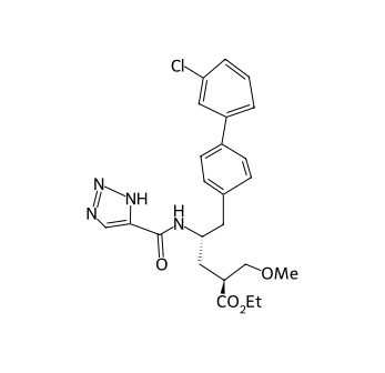 CCOC(=O)[C@H](COC)C[C@@H](Cc1ccc(-c2cccc(Cl)c2)cc1)NC(=O)c1cnn[nH]1